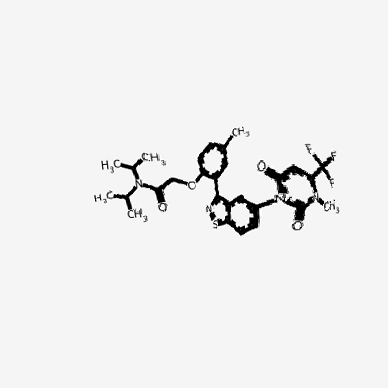 Cc1ccc(OCC(=O)N(C(C)C)C(C)C)c(-c2nsc3ccc(-n4c(=O)cc(C(F)(F)F)n(C)c4=O)cc23)c1